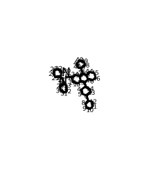 C1=c2c(-c3ccc(-c4ccccc4)cc3)c3ccc(-c4nc5ccccc5n4-c4ccccc4)cc3c(-c3ccccc3)c2=CCC1